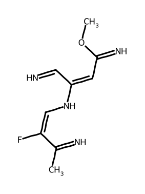 COC(=N)/C=C(\C=N)N/C=C(/F)C(C)=N